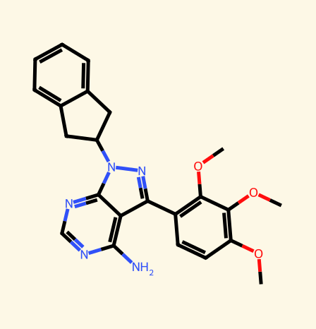 COc1ccc(-c2nn(C3Cc4ccccc4C3)c3ncnc(N)c23)c(OC)c1OC